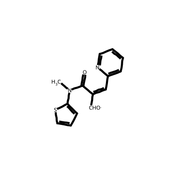 CN(C(=O)C([C]=O)=Cc1ccccn1)c1cccs1